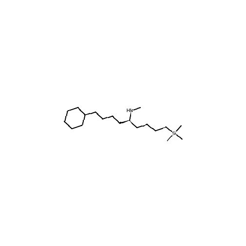 CN[C@H](CCCCC1CCCCC1)CCCC[Si](C)(C)C